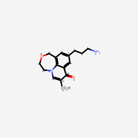 NCCCc1cc2c3c(c1)c(=O)c(C(=O)O)cn3CCOC2